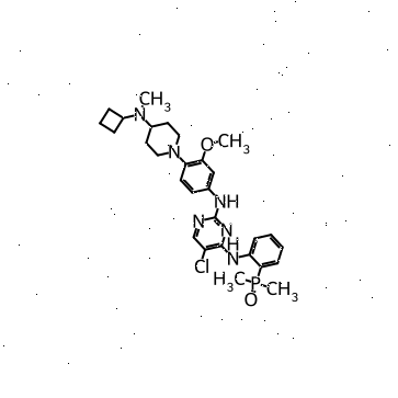 COc1cc(Nc2ncc(Cl)c(Nc3ccccc3P(C)(C)=O)n2)ccc1N1CCC(N(C)C2CCC2)CC1